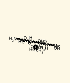 CC(=O)N(O)CCCCCNC(=O)CCC(=O)N(O)CCCCCNC(=O)CCC(=O)N(O)CCCCCN.Cc1c(O)c(=O)ccn1C